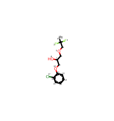 CC(C)C(F)(F)COCC(O)COc1ccccc1Cl